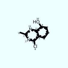 Cc1nc(Cl)c2cccc(O)c2n1